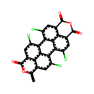 C=c1oc(=O)c2cc(Cl)c3c4c(Cl)cc5c6c(cc(Cl)c(c7c(Cl)cc1c2c73)c64)C(=O)OC5=O